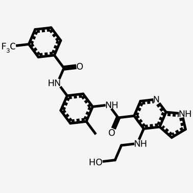 Cc1ccc(NC(=O)c2cccc(C(F)(F)F)c2)cc1NC(=O)c1cnc2[nH]ccc2c1NCCO